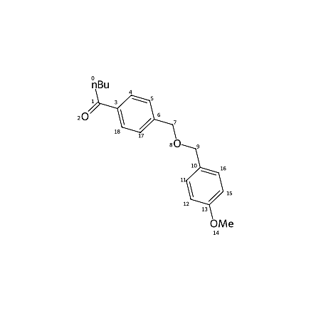 CCCCC(=O)c1ccc(COCc2ccc(OC)cc2)cc1